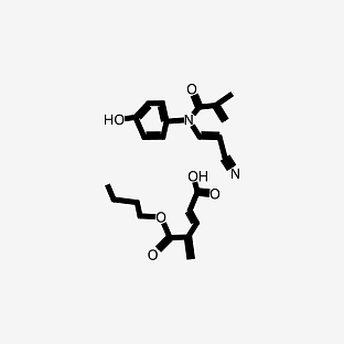 C=C(C)C(=O)N(C=CC#N)c1ccc(O)cc1.C=C(C=CC(=O)O)C(=O)OCCCC